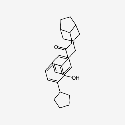 O=C(Cc1cccc(C2CCCC2)c1O)OC1C2CCC1CN(Cc1ccccc1)C2